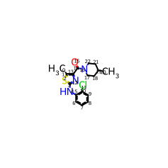 Cc1sc(Nc2ccccc2Cl)nc1C(=O)N1CCC(C)CC1